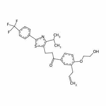 C=CCc1cc(C(=O)CCc2sc(-c3ccc(C(F)(F)F)cc3)nc2C(C)C)ccc1OCCO